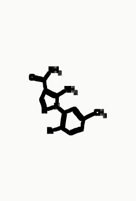 Cc1ccc(Br)c(-n2ncc(C(N)=O)c2N)c1